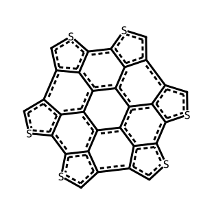 c1sc2c3scc4c5csc6c7scc8c9csc%10c%11scc%12c1c2c1c(c%12%11)c(c9%10)c(c87)c(c56)c1c43